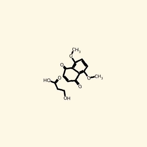 COc1ccc(OC)c2c1C(=O)C=CC2=O.O=C(O)CCO